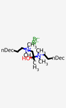 CCCCCCCCCCCC[N+](C)(C)CC(C)(O)[N+](C)(C)CCCCCCCCCCCC.[Br-].[Br-]